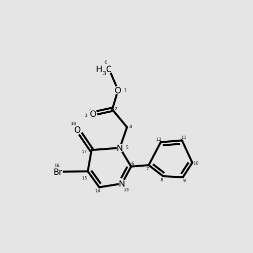 COC(=O)Cn1c(-c2ccccc2)ncc(Br)c1=O